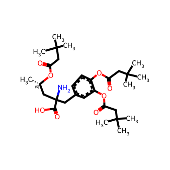 C[C@@H](CC(N)(Cc1ccc(OC(=O)CC(C)(C)C)c(OC(=O)CC(C)(C)C)c1)C(=O)O)OC(=O)CC(C)(C)C